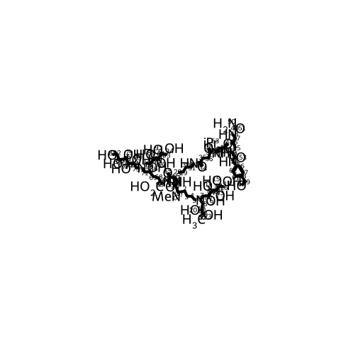 CN[C@@H](CCCCN(C[C@H](O)[C@@H](O)[C@H](O)[C@H](O)CO)C[C@H](O)[C@H](C)O)C(=O)N[C@@H](CCCCNC(=O)CCC(=O)N[C@H](C(=O)N[C@@H](CCCNC(N)=O)C(=O)Nc1ccc(CO)cc1)C(C)C)C(=O)N[C@@H](CCCCN(C[C@H](O)[C@@H](O)[C@H](O)[C@H](O)CO)C[C@H](O)[C@@H](O)[C@H](O)[C@H](O)CO)C(=O)O